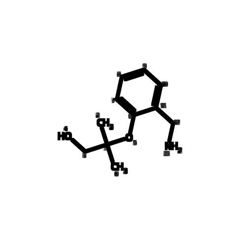 CC(C)(CO)Oc1ccccc1CN